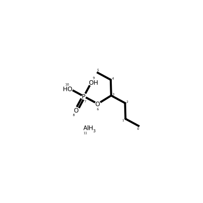 CCCC(CC)OP(=O)(O)O.[AlH3]